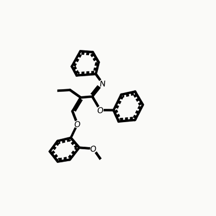 CCC(=COc1ccccc1OC)C(=Nc1ccccc1)Oc1ccccc1